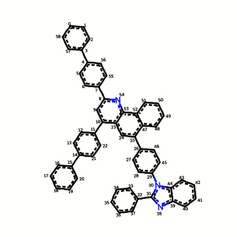 c1ccc(-c2ccc(-c3cc(-c4ccc(-c5ccccc5)cc4)c4cc(-c5ccc(-n6c(-c7ccccc7)nc7ccccc76)cc5)c5ccccc5c4n3)cc2)cc1